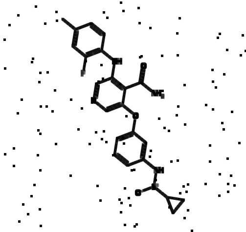 Cc1ccc(Nc2cncc(Oc3cccc(N[S+]([O-])C4CC4)c3)c2C(N)=O)c(F)c1